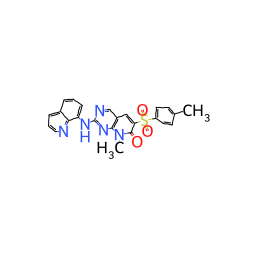 Cc1ccc(S(=O)(=O)c2cc3cnc(Nc4cccc5cccnc45)nc3n(C)c2=O)cc1